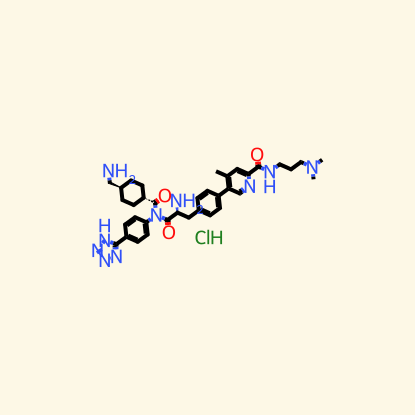 Cc1cc(C(=O)NCCCN(C)C)ncc1-c1ccc(C[C@H](N)C(=O)N(c2ccc(-c3nnn[nH]3)cc2)C(=O)[C@H]2CC[C@H](CN)CC2)cc1.Cl